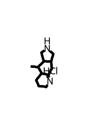 CC1C2CCCN=C2CC2CNCC21.Cl